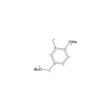 COc1ccc(COCC(C)C)cc1C